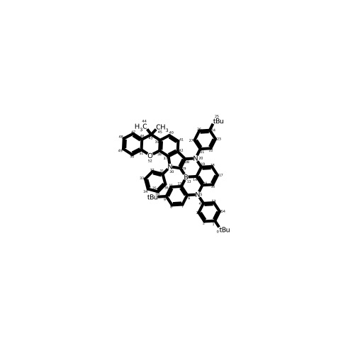 CC(C)(C)c1ccc(N2c3ccc(C(C)(C)C)cc3B3c4c2cccc4N(c2ccc(C(C)(C)C)cc2)c2c3n(-c3ccccc3)c3c4c(ccc23)C(C)(C)c2ccccc2O4)cc1